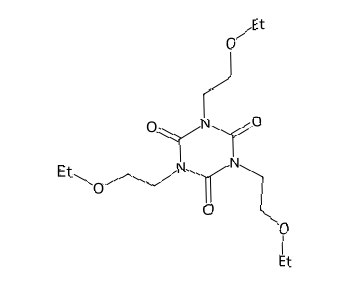 CCOCCn1c(=O)n(CCOCC)c(=O)n(CCOCC)c1=O